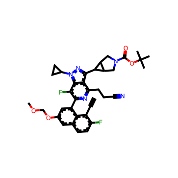 C#Cc1c(F)ccc2cc(OCOC)cc(-c3nc(CCC#N)c4c(C5C6CN(C(=O)OC(C)(C)C)CC65)nn(C5CC5)c4c3F)c12